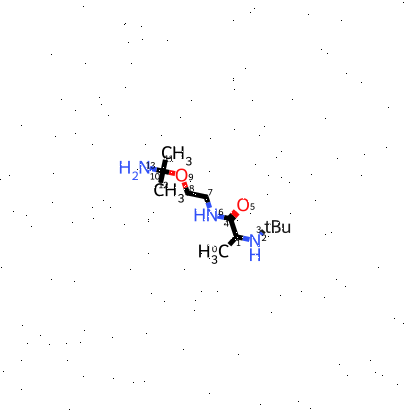 CC(NC(C)(C)C)C(=O)NCCOC(C)(C)N